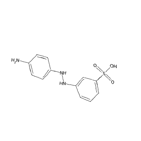 Nc1ccc(NNc2cccc(S(=O)(=O)O)c2)cc1